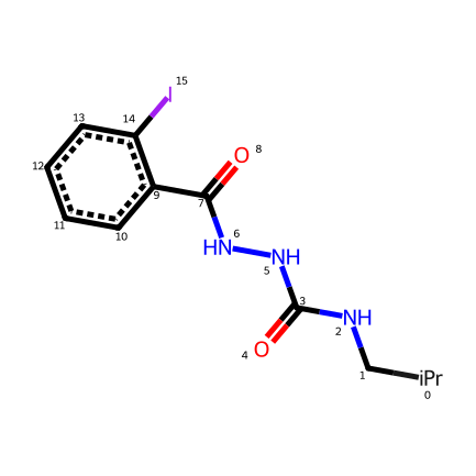 CC(C)CNC(=O)NNC(=O)c1ccccc1I